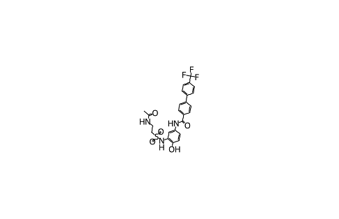 CC(=O)NCCS(=O)(=O)Nc1cc(NC(=O)c2ccc(-c3ccc(C(F)(F)F)cc3)cc2)ccc1O